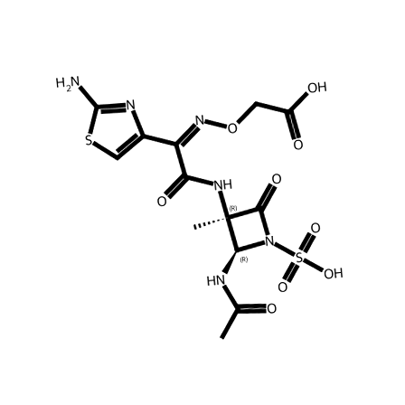 CC(=O)N[C@@H]1N(S(=O)(=O)O)C(=O)[C@]1(C)NC(=O)C(=NOCC(=O)O)c1csc(N)n1